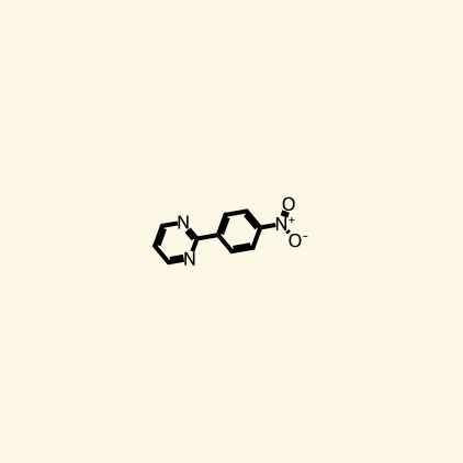 O=[N+]([O-])c1ccc(-c2ncccn2)cc1